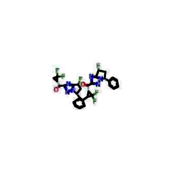 O=C(c1nc2n(n1)[C@H](c1ccccc1C1[C@H](C(=O)c3nc4n(n3)[C@H](c3ccccc3)C[C@@H]4F)C1(F)F)C[C@@H]2F)[C@@H]1CC1(F)F